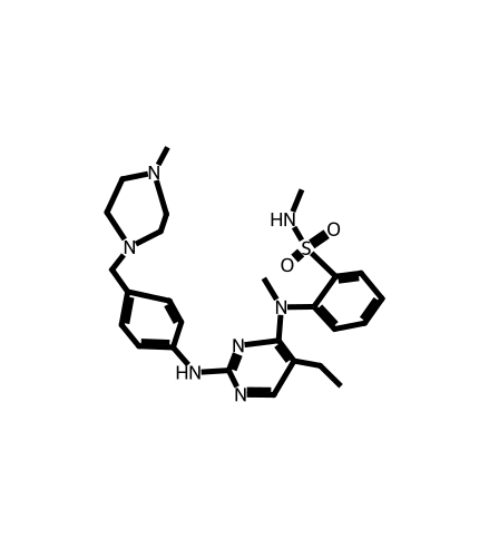 CCc1cnc(Nc2ccc(CN3CCN(C)CC3)cc2)nc1N(C)c1ccccc1S(=O)(=O)NC